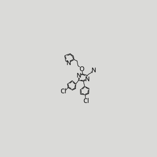 N#Cc1nc(-c2ccc(Cl)cc2)c(-c2ccc(Cl)cc2)nc1OCCc1ccccn1